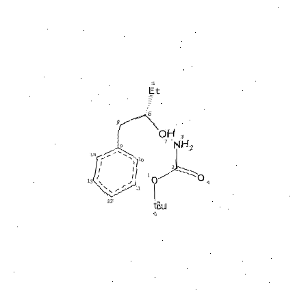 CC(C)(C)OC(N)=O.CC[C@H](O)Cc1ccccc1